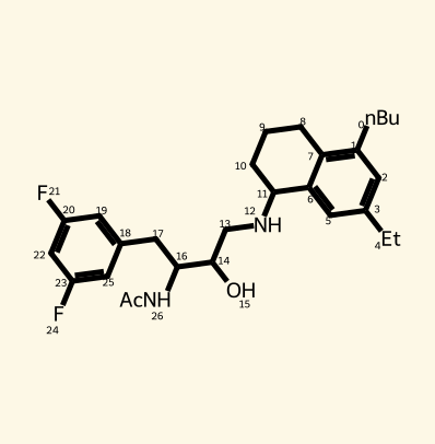 CCCCc1cc(CC)cc2c1CCCC2NCC(O)C(Cc1cc(F)cc(F)c1)NC(C)=O